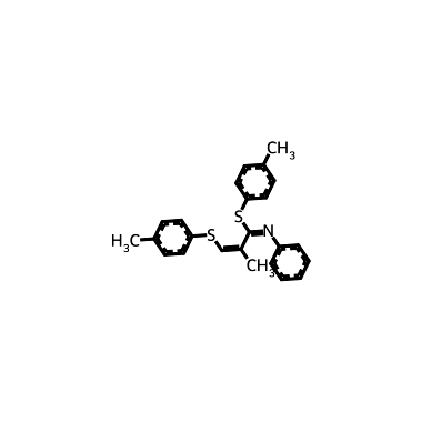 CC(=CSc1ccc(C)cc1)/C(=N\c1ccccc1)Sc1ccc(C)cc1